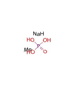 O=P(O)(O)O.[Mn].[NaH]